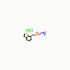 CN(C)CCOCCc1cccc2ccsc12.Cl